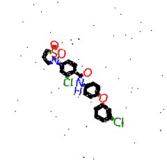 O=C(Nc1ccc(Oc2cccc(Cl)c2)cc1)c1ccc(N2CCCS2(=O)=O)cc1Cl